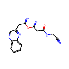 N#CCNC(=O)CC(=N)OC(=N)Cc1cnc2ccccc2n1